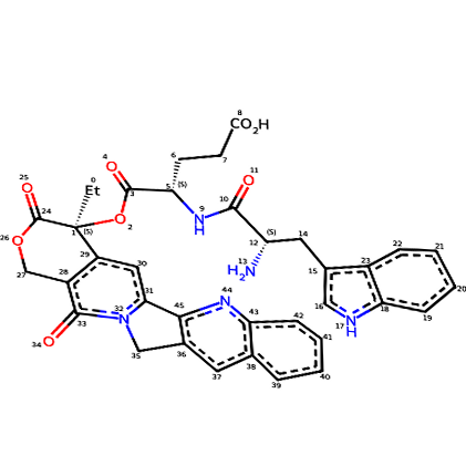 CC[C@@]1(OC(=O)[C@H](CCC(=O)O)NC(=O)[C@@H](N)Cc2c[nH]c3ccccc23)C(=O)OCc2c1cc1n(c2=O)Cc2cc3ccccc3nc2-1